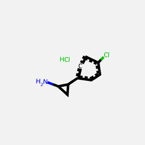 Cl.NC1CC1c1ccc(Cl)cc1